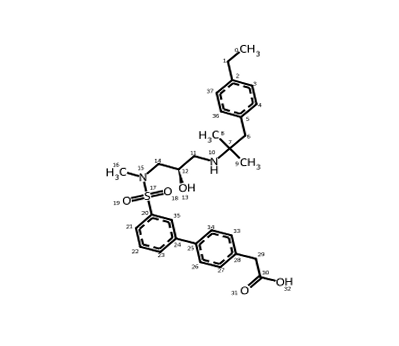 CCc1ccc(CC(C)(C)NC[C@@H](O)CN(C)S(=O)(=O)c2cccc(-c3ccc(CC(=O)O)cc3)c2)cc1